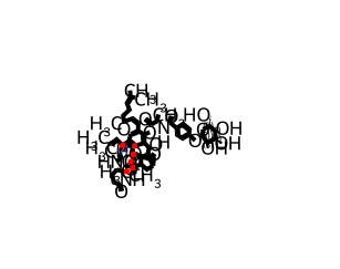 CC(C)=CCCC1(C)C=Cc2c(c(CC=C(C)C)c3c(c2OC(=O)C(C)NC(=O)c2ccc(O[C@@H]4O[C@H](CO)[C@@H](O)[C@@H](O)[C@H]4O)cc2)C(=O)C2=CC4CC5C(C)(C)OC(C/C=C(/C)C(=O)NC6CCC(=O)NC6=O)(C4=O)C25O3)O1